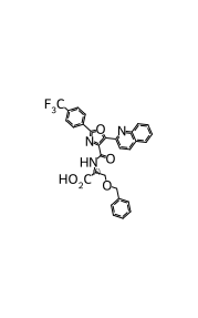 O=C(N[C@@H](COCc1ccccc1)C(=O)O)c1nc(-c2ccc(C(F)(F)F)cc2)oc1-c1ccc2ccccc2n1